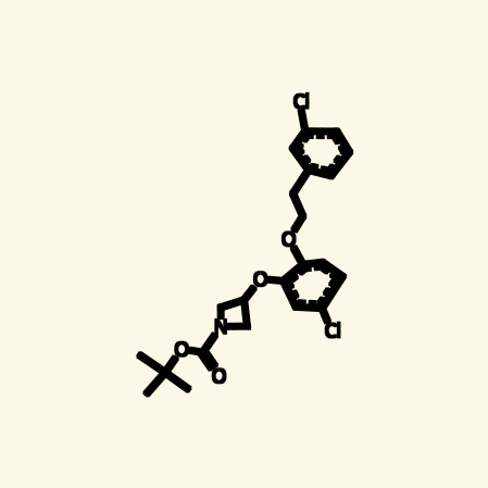 CC(C)(C)OC(=O)N1CC(Oc2cc(Cl)ccc2OCCc2cccc(Cl)c2)C1